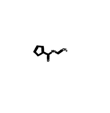 C=[CH][Mn][C](=O)C1=CC=CC1